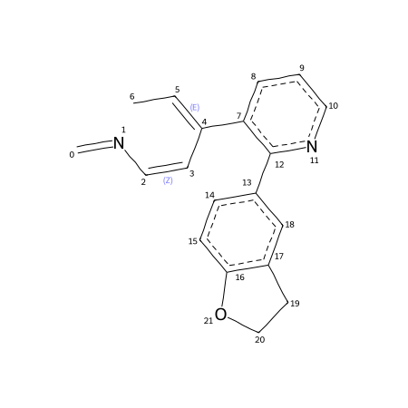 C=N/C=C\C(=C/C)c1cccnc1-c1ccc2c(c1)CCO2